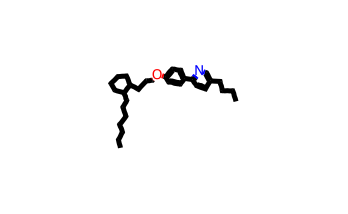 CCCCCCCC1CCCCC1CCCOc1ccc(-c2ccc(CCCC)cn2)cc1